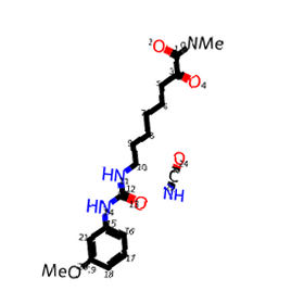 CNC(=O)C(=O)CCCCCCNC(=O)Nc1cccc(OC)c1.N=C=O